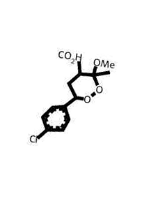 COC1(C)OOC(c2ccc(Cl)cc2)CC1C(=O)O